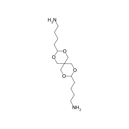 NCCCCC1OCC2(CO1)COC(CCCCN)OC2